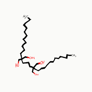 CCCCCCCCCCCC(CO)(CO)CCCC(CO)(CO)CCCCCCCCCCC